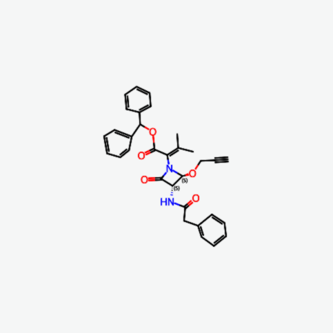 C#CCO[C@H]1[C@H](NC(=O)Cc2ccccc2)C(=O)N1C(C(=O)OC(c1ccccc1)c1ccccc1)=C(C)C